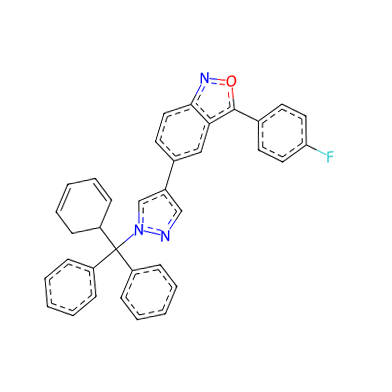 Fc1ccc(-c2onc3ccc(-c4cnn(C(c5ccccc5)(c5ccccc5)C5C=CC=CC5)c4)cc23)cc1